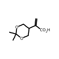 C=C(C(=O)O)C1COC(C)(C)OC1